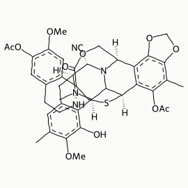 COc1cc2c(cc1OC(C)=O)CCN[C@]21CS[C@@H]2c3c(OC(C)=O)c(C)c4c(c3[C@H](COC1=O)N1C2[C@H]2c3c(cc(C)c(OC)c3O)C[C@@H]([C@@H]1C#N)N2C)OCO4